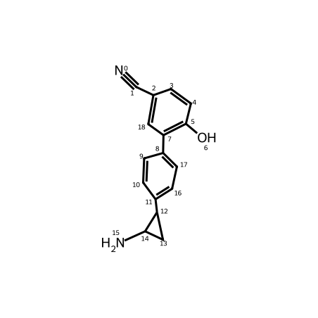 N#Cc1ccc(O)c(-c2ccc(C3CC3N)cc2)c1